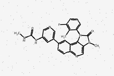 CNC(=O)Nc1cncc(-c2ccc3ncc4c(c3c2)n(-c2cccc(F)c2C)c(=O)n4C)c1